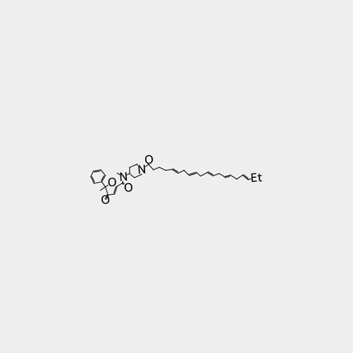 CCC=CCC=CCC=CCC=CCC=CCCCC(=O)N1CCC(N(C)C(=O)C2=CC(=O)C(C)(c3ccccc3)O2)CC1